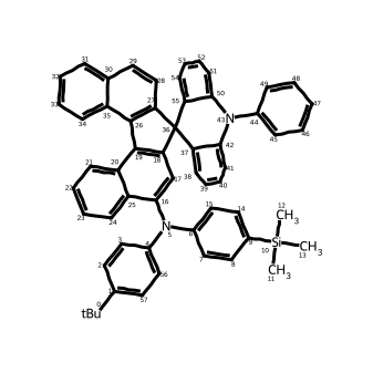 CC(C)(C)c1ccc(N(c2ccc([Si](C)(C)C)cc2)c2cc3c(c4ccccc24)-c2c(ccc4ccccc24)C32c3ccccc3N(c3ccccc3)c3ccccc32)cc1